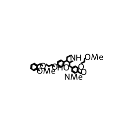 CNC(=O)c1ccc(C(O)C2CNCCC2c2ccc(OCCCOCc3ccccc3OC)cc2)cc1OCCCOC